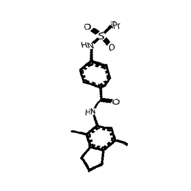 Cc1cc(NC(=O)c2ccc(NS(=O)(=O)C(C)C)cc2)c(C)c2c1CCC2